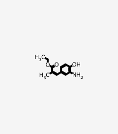 CCOC(=O)C(C)=Cc1ccc(O)c(N)c1